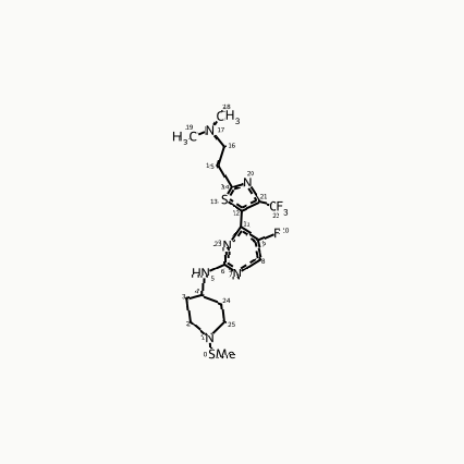 CSN1CCC(Nc2ncc(F)c(-c3sc(CCN(C)C)nc3C(F)(F)F)n2)CC1